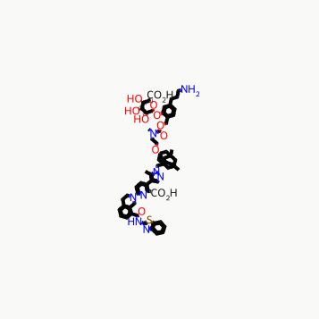 Cc1c(-c2ccc(N3CCc4cccc(C(=O)Nc5nc6ccccc6s5)c4C3)nc2C(=O)O)cnn1CC12CC3(C)CC(C)(C1)CC(OCCN(C)C(=O)OCc1ccc(CCCN)cc1OC1O[C@H](C(=O)O)[C@@H](O)[C@H](O)[C@H]1O)(C3)C2